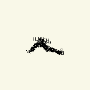 Cc1nc(N)sc1S(=O)(=O)N1Cc2cc3c(cc2C[C@H]1C(=O)N[C@@](C)(Cc1ccc(-c2ccc(C#N)cc2)cc1)C(=O)O)OCC(c1ccc(OCc2ccc(Cl)c(Cl)c2)cc1)O3